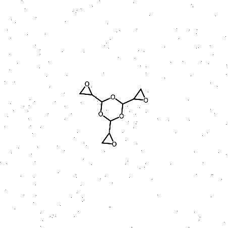 C1OC1C1OC(C2CO2)OC(C2CO2)O1